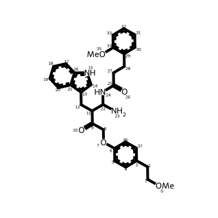 COCCc1ccc(OCC(=O)C(Cc2c[nH]c3ccccc23)C(N)NC(=O)CCc2ccccc2OC)cc1